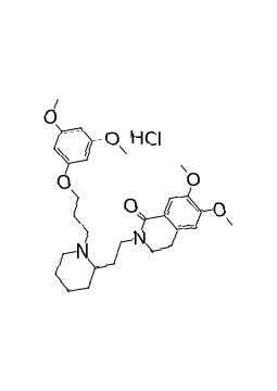 COc1cc(OC)cc(OCCCN2CCCCC2CCN2CCc3cc(OC)c(OC)cc3C2=O)c1.Cl